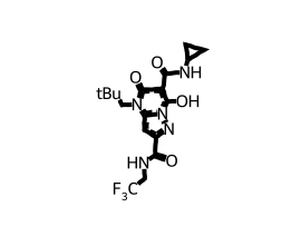 CC(C)(C)Cn1c(=O)c(C(=O)NC2CC2)c(O)n2nc(C(=O)NCC(F)(F)F)cc12